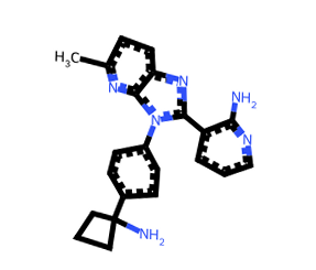 Cc1ccc2nc(-c3cccnc3N)n(-c3ccc(C4(N)CCC4)cc3)c2n1